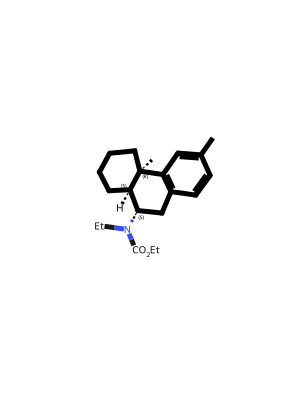 CCOC(=O)N(CC)[C@H]1Cc2ccc(C)cc2[C@]2(C)CCCC[C@H]12